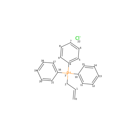 C=CC[P+](c1ccccc1)(c1ccccc1)c1ccccc1.[Cl-]